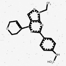 O=C(O)Nc1ccc(-c2nc(C3=CCOCC3)c3cnn(CC(F)(F)F)c3n2)cc1